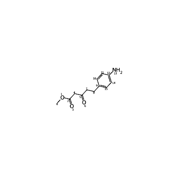 COC(=O)CC(=O)CCc1ccc(N)cc1